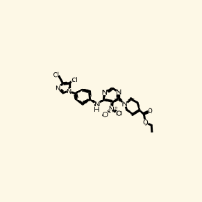 CCOC(=O)C1CCN(c2ncnc(Nc3ccc(-n4cnc(Cl)c4Cl)cc3)c2[N+](=O)[O-])CC1